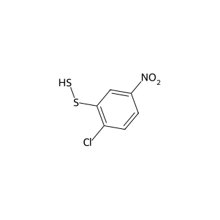 O=[N+]([O-])c1ccc(Cl)c(SS)c1